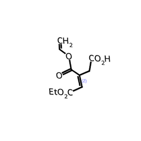 C=COC(=O)/C(=C\C(=O)OCC)CC(=O)O